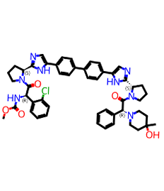 COC(=O)N[C@@H](C(=O)N1CCC[C@H]1c1ncc(-c2ccc(-c3ccc(-c4cnc([C@@H]5CCCN5C(=O)[C@@H](c5ccccc5)N5CCC(C)(O)CC5)[nH]4)cc3)cc2)[nH]1)c1ccccc1Cl